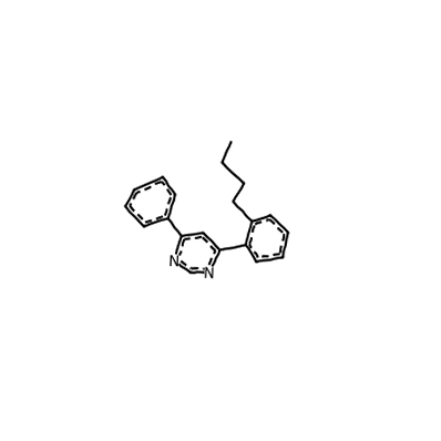 CCCCc1ccccc1-c1cc(-c2ccccc2)ncn1